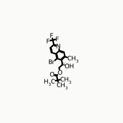 Cc1cc2nc(C(F)(F)F)ccc2c(Br)c1[C@H](O)COC(=O)C(C)(C)C